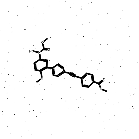 COC(=O)c1ccc(C#Cc2ccc(-c3cc(N(O)C(=O)OC)ccc3OC)cc2)cc1